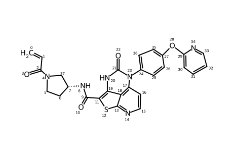 C=CC(=O)N1CC[C@@H](NC(=O)c2sc3nccc4c3c2NC(=O)N4c2ccc(Oc3ccccn3)cc2)C1